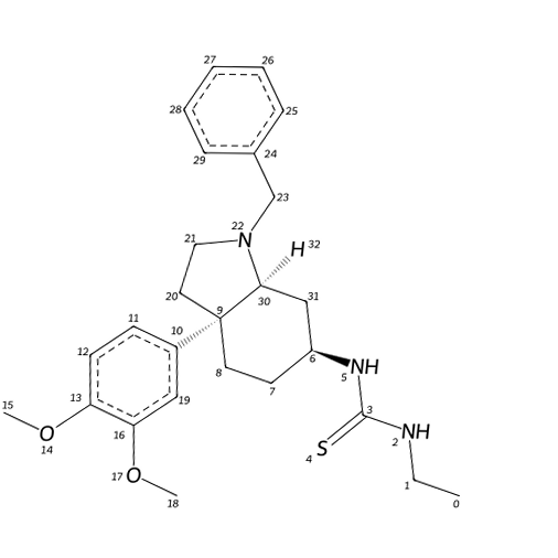 CCNC(=S)N[C@H]1CC[C@@]2(c3ccc(OC)c(OC)c3)CCN(Cc3ccccc3)[C@H]2C1